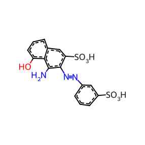 Nc1c(N=Nc2cccc(S(=O)(=O)O)c2)c(S(=O)(=O)O)cc2cccc(O)c12